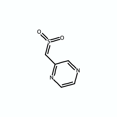 O=S(=O)=Cc1cnccn1